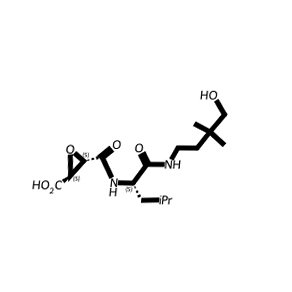 CC(C)C[C@H](NC(=O)[C@H]1O[C@@H]1C(=O)O)C(=O)NCCC(C)(C)CO